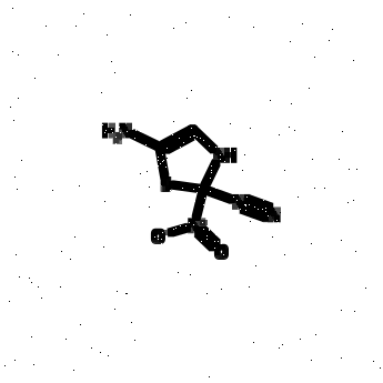 N#[N+]C1([N+](=O)[O-])NC=C(N)S1